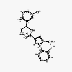 COc1cc(C(=O)NC(CC(=O)O)c2cc(Cl)ccc2Cl)nn1-c1ccccc1F